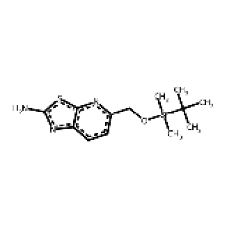 CC(C)(C)[Si](C)(C)OCc1ccc2nc(N)sc2n1